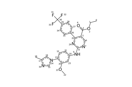 CCOC(=O)c1cnc(Nc2ccc(-n3cnc(C)c3)c(OC)c2)nc1-c1ccc(C(F)(F)F)cc1